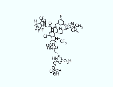 CC(C)(C#Cc1ccc(-c2ccc(Cl)c3c(CS(=O)(=O)NC(=O)CC[C@H](CC(=O)O)NC(=O)OCOP(=O)(O)O)nn(CC(F)(F)F)c23)c([C@H](Cc2cc(F)cc(F)c2)NC(=O)Cn2nc(C(F)(F)F)c3c2C(F)(F)[C@@H]2C[C@H]32)n1)S(C)(=O)=O